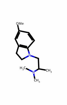 COc1ccc2c(c1)CCN2CC(C)N(C)C